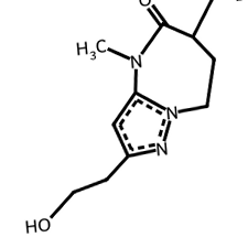 CN1C(=O)C(N)CCn2nc(CCO)cc21